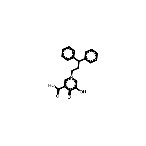 O=C(O)c1cn(CCC(c2ccccc2)c2ccccc2)cc(O)c1=O